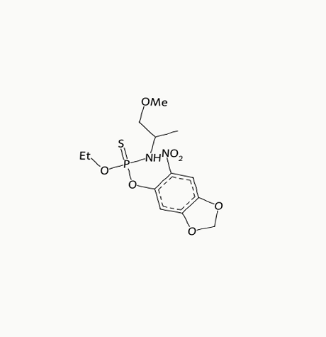 CCOP(=S)(NC(C)COC)Oc1cc2c(cc1[N+](=O)[O-])OCO2